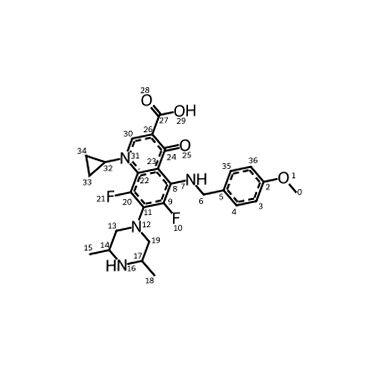 COc1ccc(CNc2c(F)c(N3CC(C)NC(C)C3)c(F)c3c2c(=O)c(C(=O)O)cn3C2CC2)cc1